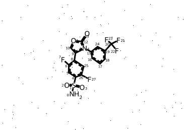 NS(=O)(=O)c1cc(F)c(-c2coc(=O)n2-c2cccc(C(F)(F)F)c2)cc1F